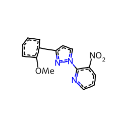 COc1ccccc1-c1ccn(-c2ncccc2[N+](=O)[O-])n1